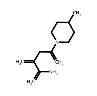 C=C(N)C(=C)CC(=C)N1CCC(C)CC1